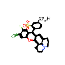 O=S(=O)([O-])c1cc(S(=O)(=O)O)ccc1C1=c2cc3c4c(c2Oc2cc(Cl)c(F)cc21)CCC[N+]=4CCC3